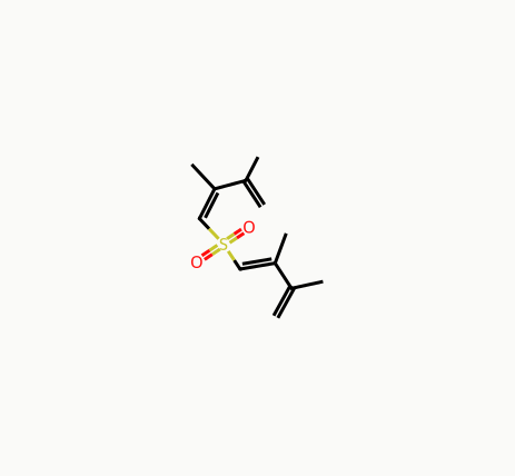 C=C(C)C(C)=CS(=O)(=O)C=C(C)C(=C)C